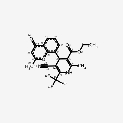 CCOC(=O)C1=C(C)NC(C(F)(F)F)=C(C#N)C1c1cccc2c(=O)cc(C)oc12